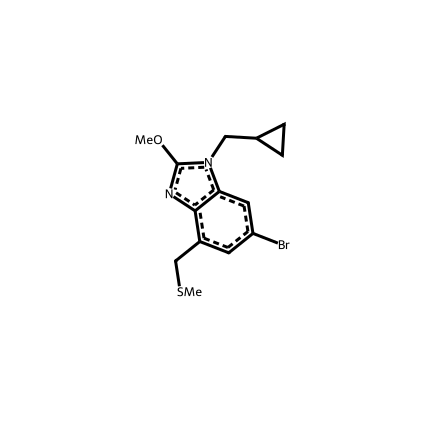 COc1nc2c(CSC)cc(Br)cc2n1CC1CC1